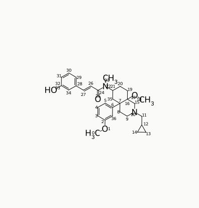 COc1cccc(C23CCN(CC4CC4)CC2(OC)CCC(N(C)C(=O)/C=C/c2cccc(O)c2)C3)c1